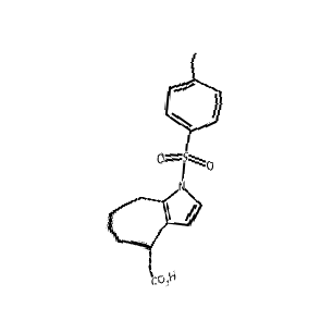 Cc1ccc(S(=O)(=O)n2ccc3c2CCCC3C(=O)O)cc1